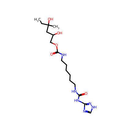 CCC(C)(O)CC(O)COC(=O)NCCCCCCNC(=O)Nc1nc[nH]n1